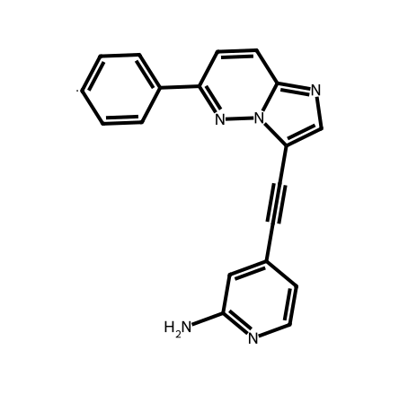 Nc1cc(C#Cc2cnc3ccc(-c4cc[c]cc4)nn23)ccn1